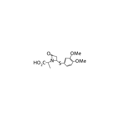 COc1ccc(SC2CC(=O)N2C(C)C(=O)O)cc1OC